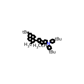 Cc1cc(-c2ccc3c(c2)C(C)(C)c2cc(N(c4ccc(C(C)(C)C)cc4)c4ccc(C(C)(C)C)cc4)ccc2-3)c2ccc3cc(C(C)(C)C)cc4ccc1c2c43